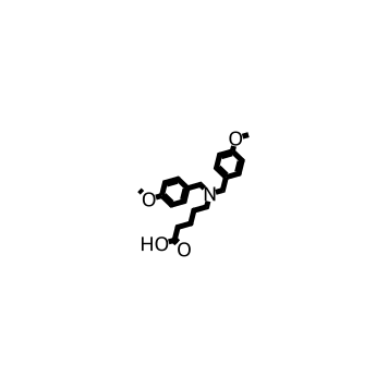 COc1ccc(CN(CCCCC(=O)O)Cc2ccc(OC)cc2)cc1